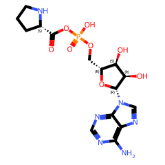 Nc1ncnc2c1ncn2[C@@H]1O[C@H](COP(=O)(O)OC(=O)[C@@H]2CCCN2)[C@@H](O)[C@H]1O